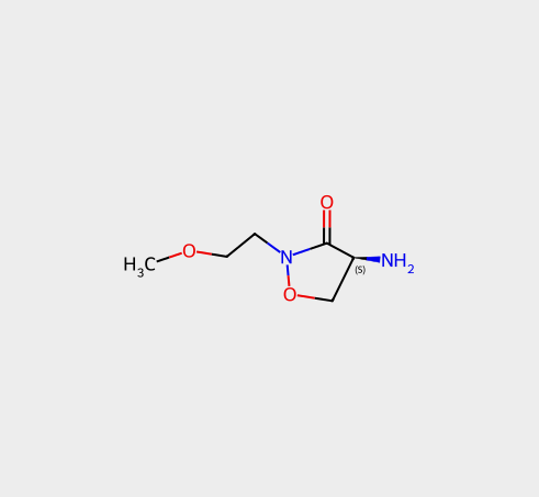 COCCN1OC[C@H](N)C1=O